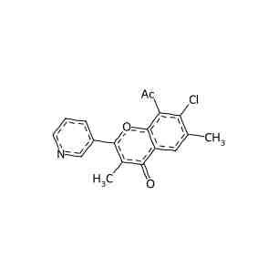 CC(=O)c1c(Cl)c(C)cc2c(=O)c(C)c(-c3cccnc3)oc12